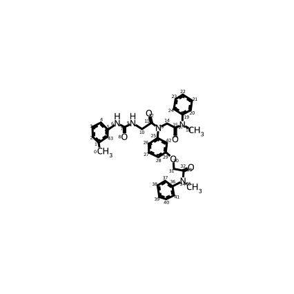 Cc1cccc(NC(=O)NCC(=O)N(CC(=O)N(C)c2ccccc2)c2cccc(OCC(=O)N(C)c3ccccc3)c2)c1